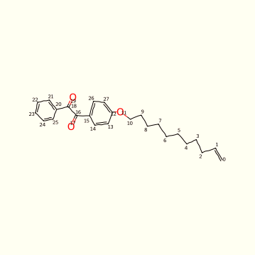 C=CCCCCCCCCCOc1ccc(C(=O)C(=O)c2ccccc2)cc1